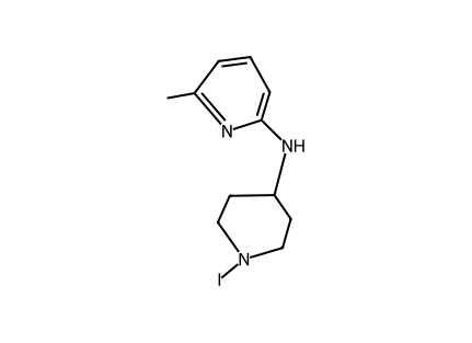 Cc1cccc(NC2CCN(I)CC2)n1